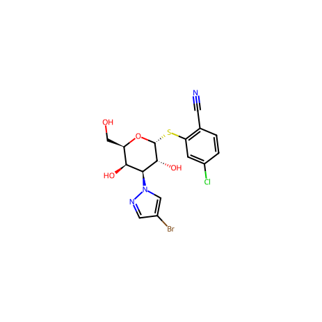 N#Cc1ccc(Cl)cc1S[C@H]1O[C@H](CO)[C@H](O)[C@H](n2cc(Br)cn2)[C@H]1O